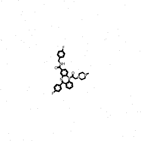 CN1CCN(CC(=O)N2c3ccc(C(=O)NCc4ccc(F)cc4)cc3N=C(c3ccc(F)cc3)c3ccccc32)CC1